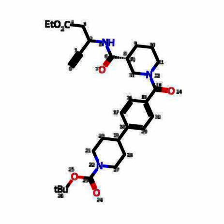 C#CC(CC(=O)OCC)NC(=O)[C@@H]1CCCN(C(=O)c2ccc(C3CCN(C(=O)OC(C)(C)C)CC3)cc2)C1